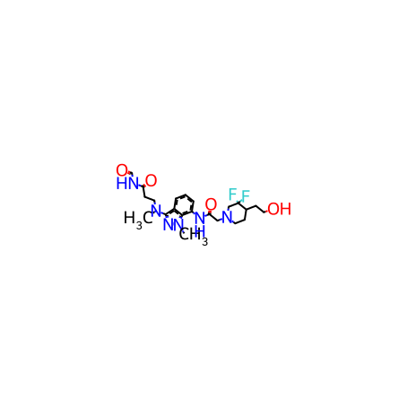 CN(CCC(=O)NC=O)c1nn(C)c2c(NC(=O)CN3CCC(CCO)C(F)(F)C3)cccc12